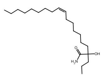 CCCCCCCC/C=C\CCCCCCC(O)(CCC)C(N)=O